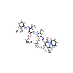 Cc1cc(N=Nc2c(C)c(C#N)c3nc4ccccc4n3c2O)c(OCCCS(=O)(=O)O)cc1N=Nc1cc(C)c(N=Nc2ccccc2S(=O)(=O)O)cc1OCCCS(=O)(=O)O